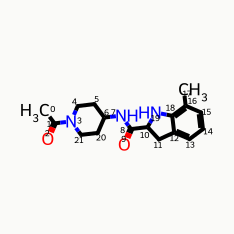 CC(=O)N1CCC(NC(=O)C2Cc3cccc(C)c3N2)CC1